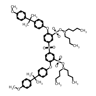 CCCCN(CCCC)OS(=O)(=O)c1cc(S(=O)(=O)c2ccc(Oc3ccc(C(C)(C)c4ccc(OC)cc4)cc3)c(S(=O)(=O)ON(CCCC)CCCC)c2)ccc1Oc1ccc(C(C)(C)c2ccc(OC)cc2)cc1